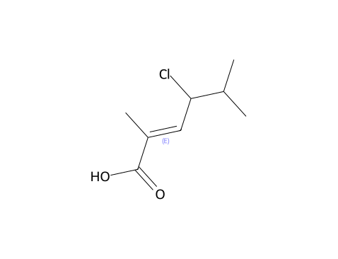 C/C(=C\C(Cl)C(C)C)C(=O)O